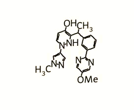 COc1cnc(-c2cccc(C(C)C3=C(O)C=CN(c4cnn(C)c4)N3)c2)nc1